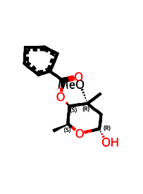 CO[C@]1(C)C[C@H](O)O[C@@H](C)[C@@H]1OC(=O)c1ccccc1